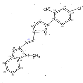 C[n+]1c(/C=C/c2ccc(-c3ccc(Cl)cc3Cl)o2)sc2ccccc21